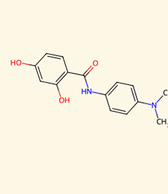 CN(C)c1ccc(NC(=O)c2ccc(O)cc2O)cc1